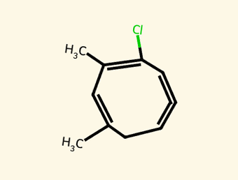 C/C1=C/C(C)=C(/Cl)C=C=CC1